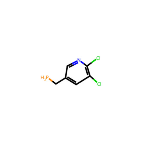 PCc1cnc(Cl)c(Cl)c1